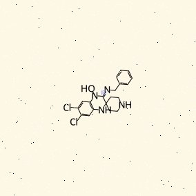 ON1/C(=N/Cc2ccccc2)C2(CCNCC2)Nc2cc(Cl)c(Cl)cc21